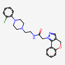 O=C(Cn1ncc2c1-c1ccccc1OC2)NCCN1CCN(c2ccccc2F)CC1